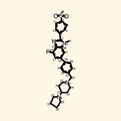 Cn1c(-c2ccc(S(C)(=O)=O)cc2)nc2c(F)cc(-c3ccc(CN4CCC(N5CCCC5)CC4)cc3)cc21